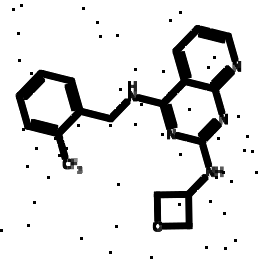 FC(F)(F)c1ccccc1CNc1nc(NC2COC2)nc2ncccc12